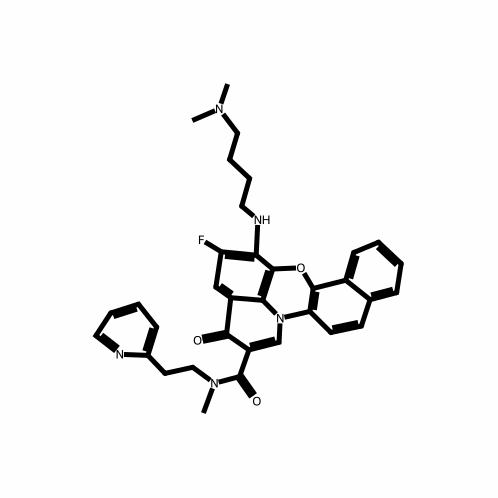 CN(C)CCCCNc1c(F)cc2c(=O)c(C(=O)N(C)CCc3ccccn3)cn3c2c1Oc1c-3ccc2ccccc12